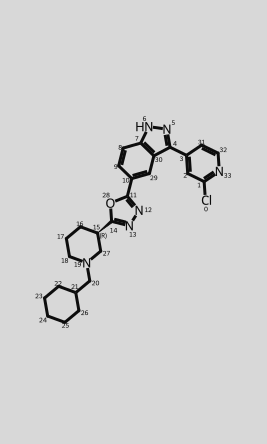 Clc1cc(-c2n[nH]c3ccc(-c4nnc([C@@H]5CCCN(CC6CCCCC6)C5)o4)cc23)ccn1